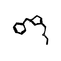 CCOCC1=CCN(Cc2ccccc2)C1